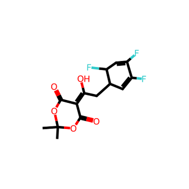 CC1(C)OC(=O)C(=C(O)CC2C=C(F)C(F)=CC2F)C(=O)O1